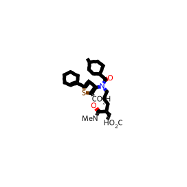 CNC(=O)C(CCCN(C(=O)C1CCC(C)CC1)c1cc(C2=CCCCC2)sc1C(=O)O)CC(=O)O